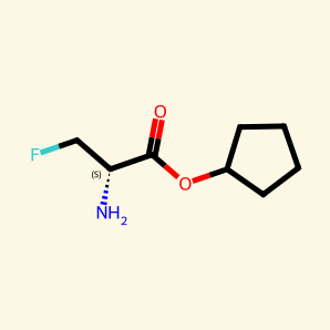 N[C@H](CF)C(=O)OC1CCCC1